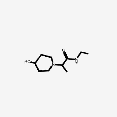 CCNC(=O)C(C)N1CCC(O)CC1